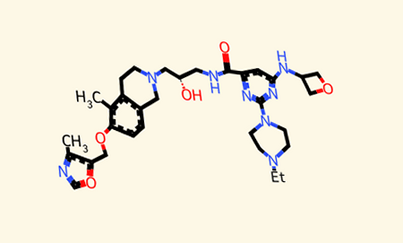 CCN1CCN(c2nc(NC3COC3)cc(C(=O)NC[C@H](O)CN3CCc4c(ccc(OCc5ocnc5C)c4C)C3)n2)CC1